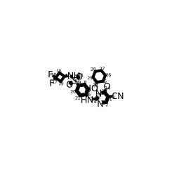 N#Cc1cnc(Nc2ccc(S(=O)(=O)NC3CC(F)(F)C3)cc2)nc1O[C@H]1CCCC[C@H]1O